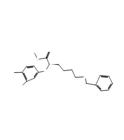 O=C(NO)[C@@H](CCCCOCc1ccccc1)Oc1ccc(F)c(Cl)c1